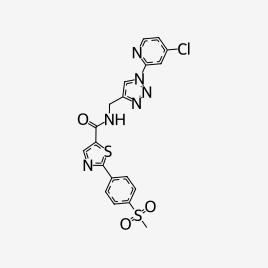 CS(=O)(=O)c1ccc(-c2ncc(C(=O)NCc3cn(-c4cc(Cl)ccn4)nn3)s2)cc1